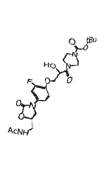 CC(=O)NC[C@H]1CN(c2ccc(OCC(O)C(=O)N3CCN(C(=O)OC(C)(C)C)CC3)c(F)c2)C(=O)O1